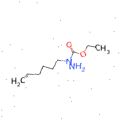 C=CCCCCN(N)C(=O)OCC